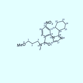 COCCCN(C)C(=O)c1ccc([N+](=O)[O-])cc1-n1ccnc1C1CCCCC1